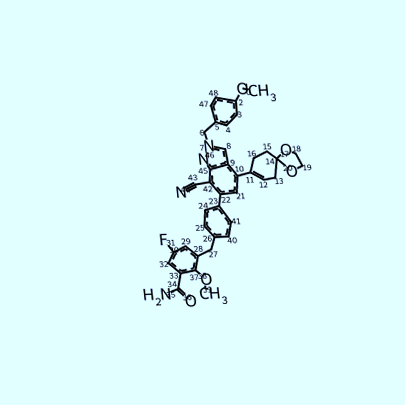 COc1ccc(Cn2cc3c(C4=CCC5(CC4)OCCO5)cc(-c4ccc(Cc5cc(F)cc(C(N)=O)c5OC)cc4)c(C#N)c3n2)cc1